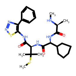 CN[C@@H](C)C(=O)N[C@H](C(=O)N[C@H](C(=O)Nc1snnc1-c1ccccc1)C(C)(C)SC)C1CCCCC1